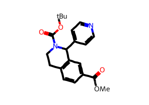 COC(=O)c1ccc2c(c1)C(c1ccncc1)N(C(=O)OC(C)(C)C)CC2